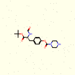 CC(C)(C)OC(=O)[C@H](Cc1ccc(OC(=O)N2CCNCC2)cc1)NC=O